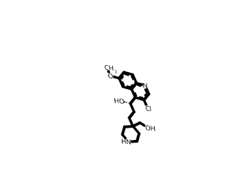 COc1ccc2ncc(Cl)c([C@@H](O)CCC3(CO)CCNCC3)c2c1